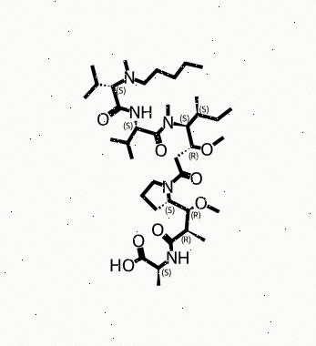 CCCCCN(C)[C@H](C(=O)N[C@H](C(=O)N(C)[C@@H]([C@@H](C)CC)[C@@H](CC(=O)N1CCC[C@H]1[C@H](OC)[C@@H](C)C(=O)N[C@@H](C)C(=O)O)OC)C(C)C)C(C)C